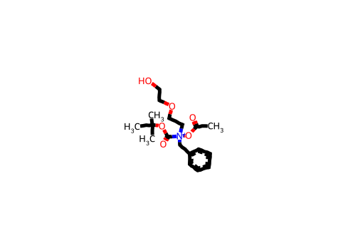 CC(=O)O[N+](CCOCCO)(Cc1ccccc1)C(=O)OC(C)(C)C